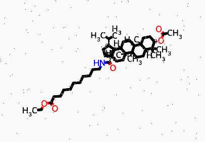 CCOC(=O)CCCCCCCCCCNC(=O)[C@]12CC[C@@H](C(C)C)[C@@H]1[C@H]1CCC3[C@@]4(C)CC[C@H](OC(C)=O)C(C)(C)[C@@H]4CC[C@@]3(C)[C@]1(C)CC2